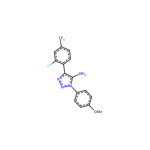 COc1ccc(-n2nnc(-c3ccc(C(F)(F)F)cc3F)c2N)cc1